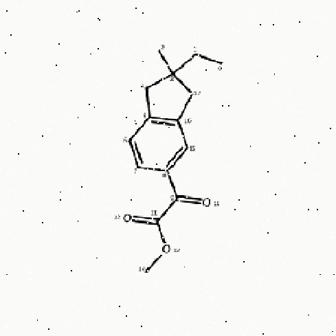 CCC1(C)Cc2ccc(C(=O)C(=O)OC)cc2C1